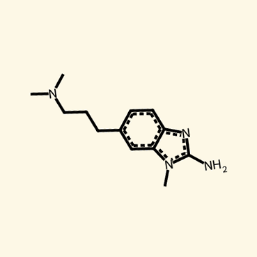 CN(C)CCCc1ccc2nc(N)n(C)c2c1